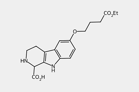 CCOC(=O)CCCOc1ccc2[nH]c3c(c2c1)CCNC3C(=O)O